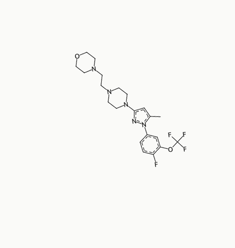 Cc1cc(N2CCN(CCN3CCOCC3)CC2)nn1-c1ccc(F)c(OC(F)(F)F)c1